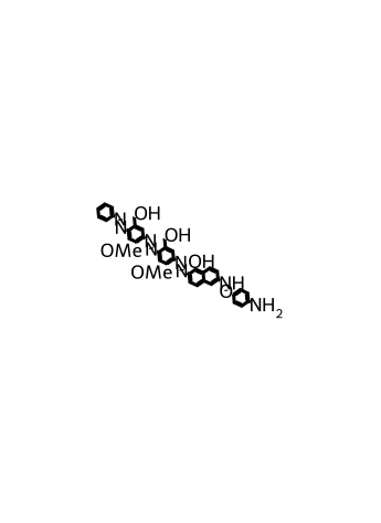 COc1cc(N=Nc2ccccc2)c(CO)cc1N=Nc1cc(OC)c(N=Nc2ccc3cc(NOc4ccc(N)cc4)ccc3c2O)cc1CO